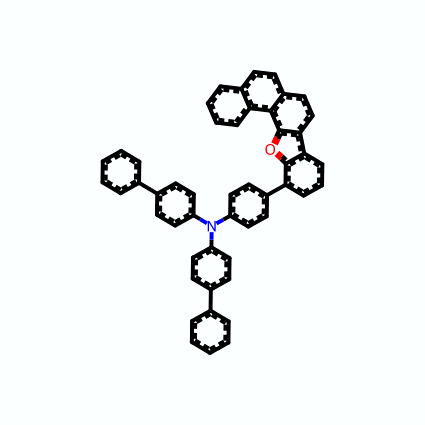 c1ccc(-c2ccc(N(c3ccc(-c4ccccc4)cc3)c3ccc(-c4cccc5c4oc4c5ccc5ccc6ccccc6c54)cc3)cc2)cc1